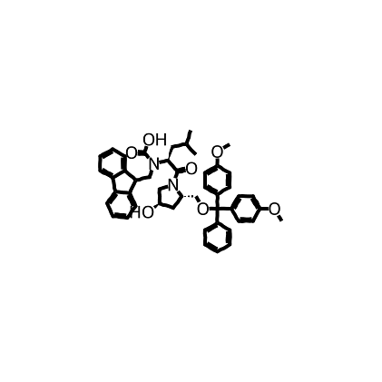 COc1ccc(C(OC[C@@H]2C[C@@H](O)CN2C(=O)[C@H](CC(C)C)N(CC2c3ccccc3-c3ccccc32)C(=O)O)(c2ccccc2)c2ccc(OC)cc2)cc1